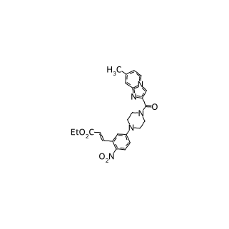 CCOC(=O)C=Cc1cc(N2CCN(C(=O)c3cn4ccc(C)cc4n3)CC2)ccc1[N+](=O)[O-]